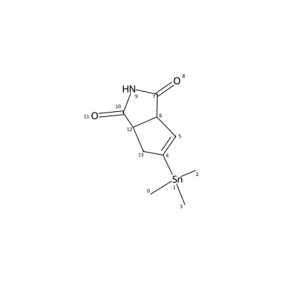 [CH3][Sn]([CH3])([CH3])[C]1=CC2C(=O)NC(=O)C2C1